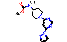 CN(C(=O)OC(C)(C)C)C1CCN(c2cc(-n3cccn3)ncn2)CC1